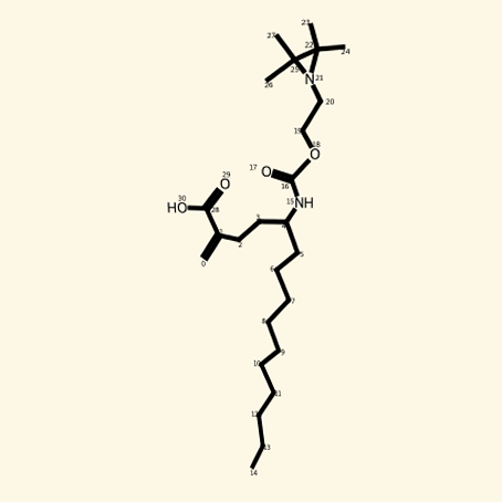 C=C(CCC(CCCCCCCCCC)NC(=O)OCCN1C(C)(C)C1(C)C)C(=O)O